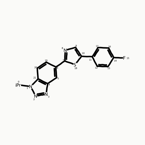 CC(C)n1nnc2cc(-c3ncc(-c4ccc(F)cc4)s3)ccc21